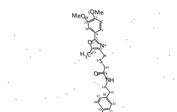 COc1ccc(-c2nc(CSCC(=O)NCCc3ccc(Cl)cc3)c(C)o2)cc1OC